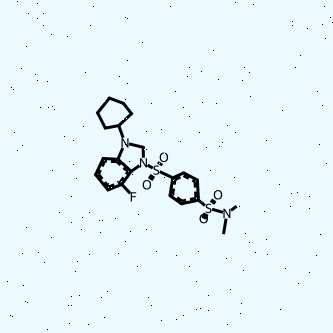 CN(C)S(=O)(=O)c1ccc(S(=O)(=O)N2CN(C3CCCCC3)c3cccc(F)c32)cc1